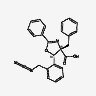 [N-]=[N+]=NCc1ccccc1[C@@H]1OC(c2ccccc2)=N[C@]1(Cc1ccccc1)C(=O)O